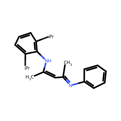 C/C(=C/C(C)=N/c1ccccc1)Nc1c(C(C)C)cccc1C(C)C